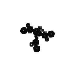 NC(=O)C(CCC1=NN(c2ccccc2)C(=O)C1)(CCC1=NN(c2ccccc2)C(=O)C1)CCC1=NN(c2ccccc2)C(=O)C1